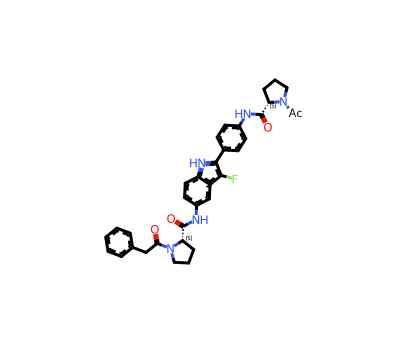 CC(=O)N1CCC[C@H]1C(=O)Nc1ccc(-c2[nH]c3ccc(NC(=O)[C@@H]4CCCN4C(=O)Cc4ccccc4)cc3c2F)cc1